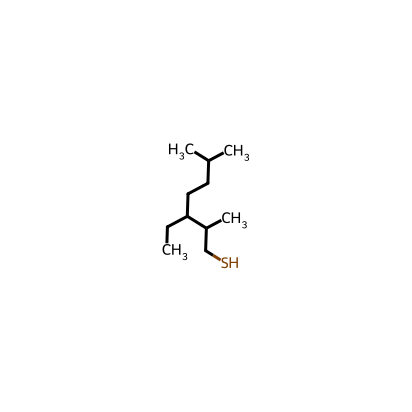 CCC(CCC(C)C)C(C)CS